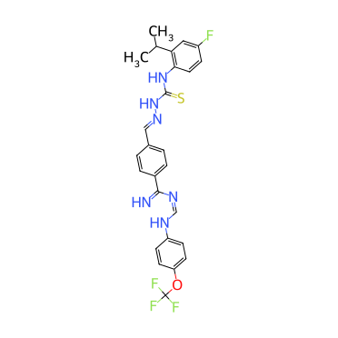 CC(C)c1cc(F)ccc1NC(=S)N/N=C/c1ccc(C(=N)/N=C\Nc2ccc(OC(F)(F)F)cc2)cc1